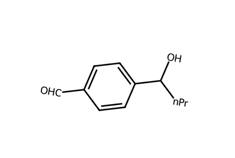 CCCC(O)c1ccc(C=O)cc1